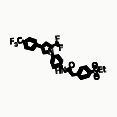 CCS(=O)(=O)c1ccc(CC(=O)Nc2ccc(N3CC(c4ccc(C(F)(F)F)cc4)C[C@H]3C(F)F)cc2)cc1